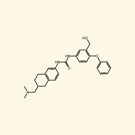 CN(C)CC1CCc2cc(NC(=O)Nc3ccc(Oc4ccccc4)c(CO)c3)ccc2C1